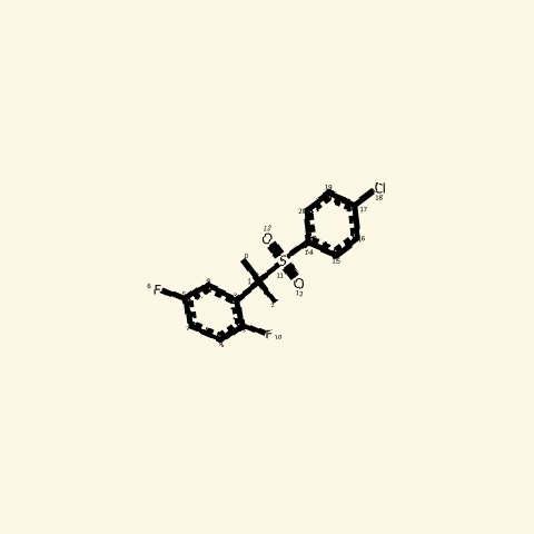 CC(C)(c1cc(F)ccc1F)S(=O)(=O)c1ccc(Cl)cc1